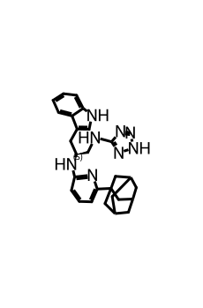 c1cc(N[C@H](CNc2nn[nH]n2)Cc2c[nH]c3ccccc23)nc(C23CC4CC(CC(C4)C2)C3)c1